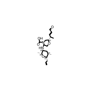 C=CC[C@@H]1O[C@H](C)[C@H](NC2CO[C@@H](C(C)C=CC=O)CN2C(=O)O)C[C@@H]1C